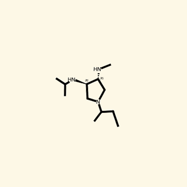 CCC(C)N1C[C@@H](NC)[C@H](NC(C)C)C1